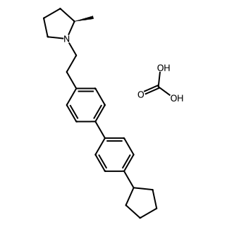 C[C@@H]1CCCN1CCc1ccc(-c2ccc(C3CCCC3)cc2)cc1.O=C(O)O